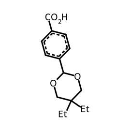 CCC1(CC)COC(c2ccc(C(=O)O)cc2)OC1